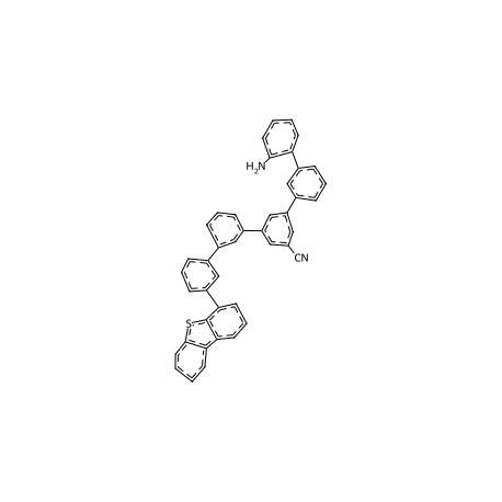 N#Cc1cc(-c2cccc(-c3cccc(-c4cccc5c4sc4ccccc45)c3)c2)cc(-c2cccc(-c3ccccc3N)c2)c1